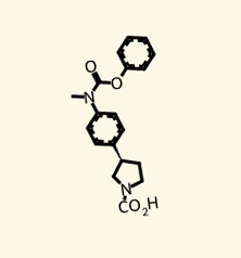 CN(C(=O)Oc1ccccc1)c1ccc([C@H]2CCN(C(=O)O)C2)cc1